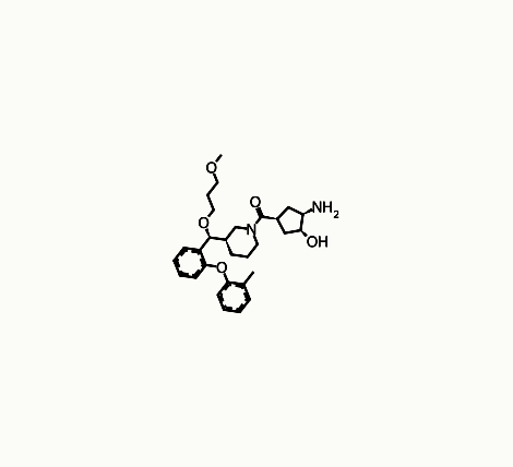 COCCCO[C@H](c1ccccc1Oc1ccccc1C)[C@@H]1CCCN(C(=O)[C@H]2C[C@@H](N)[C@@H](O)C2)C1